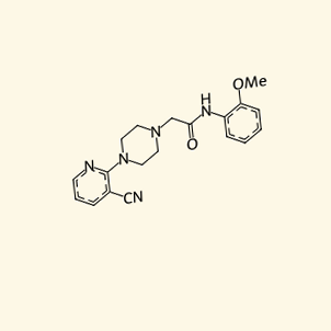 COc1ccccc1NC(=O)CN1CCN(c2ncccc2C#N)CC1